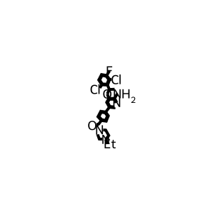 CCN1CCN(C(=O)c2ccc(-c3cnc(N)c(OC(C)c4c(Cl)ccc(F)c4Cl)c3)cc2)CC1